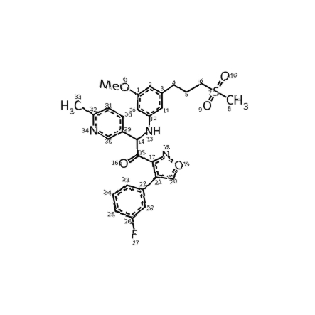 COc1cc(CCCS(C)(=O)=O)cc(NC(C(=O)c2nocc2-c2cccc(F)c2)c2ccc(C)nc2)c1